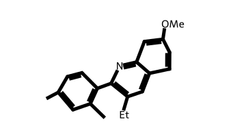 CCc1cc2ccc(OC)cc2nc1-c1ccc(C)cc1C